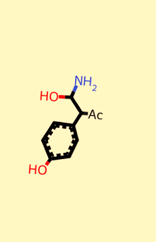 CC(=O)C(c1ccc(O)cc1)C(N)O